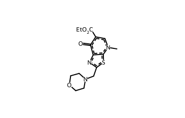 CCOC(=O)c1cn(C)c2sc(CN3CCOCC3)nc2c1=O